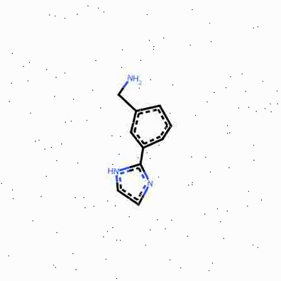 NCc1cccc(-c2ncc[nH]2)c1